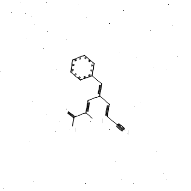 CC(=CC(C=CC#N)=Cc1ccccc1)C(=O)O